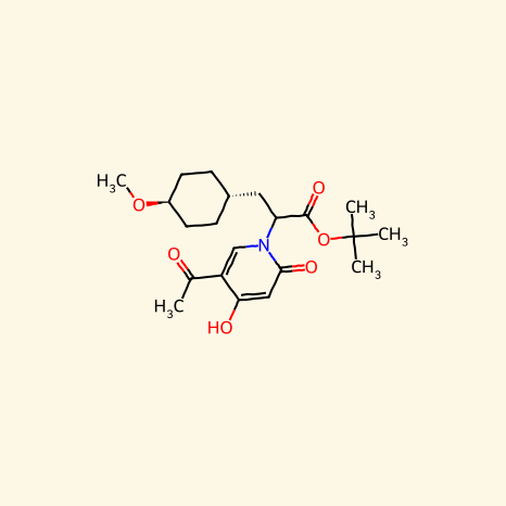 CO[C@H]1CC[C@H](CC(C(=O)OC(C)(C)C)n2cc(C(C)=O)c(O)cc2=O)CC1